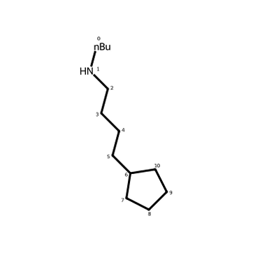 [CH2]CCCNCCCCC1CCCC1